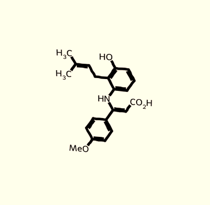 COc1ccc(C(=CC(=O)O)Nc2cccc(O)c2CC=C(C)C)cc1